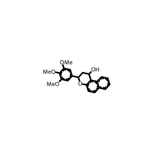 COc1cc(C2CC(O)c3c(ccc4ccccc34)O2)cc(OC)c1OC